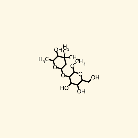 COC1OC(CO)C(O)C(O)C1OC1CC(C)(C)C(O)C(C)O1